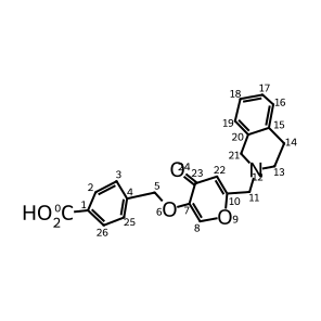 O=C(O)c1ccc(COc2coc(CN3CCc4ccccc4C3)cc2=O)cc1